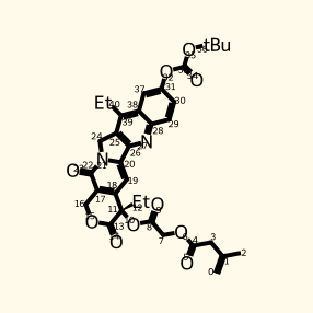 C=C(C)CC(=O)OCC(=O)O[C@]1(CC)C(=O)OCc2c1cc1n(c2=O)Cc2c-1nc1ccc(OC(=O)OC(C)(C)C)cc1c2CC